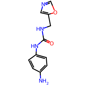 Nc1ccc(NC(=O)NCc2cnco2)cc1